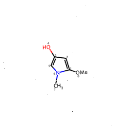 COc1cc(O)cn1C